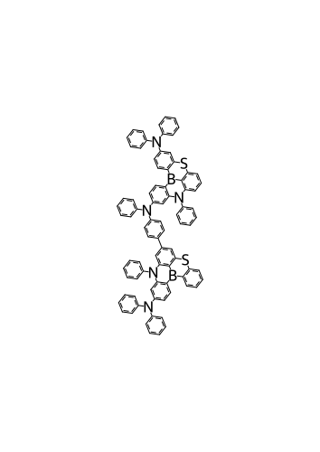 c1ccc(N(c2ccccc2)c2ccc3c(c2)Sc2cccc4c2B3c2ccc(N(c3ccccc3)c3ccc(-c5cc6c7c(c5)N(c5ccccc5)c5cc(N(c8ccccc8)c8ccccc8)ccc5B7c5ccccc5S6)cc3)cc2N4c2ccccc2)cc1